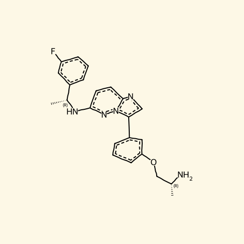 C[C@@H](N)COc1cccc(-c2cnc3ccc(N[C@H](C)c4cccc(F)c4)nn23)c1